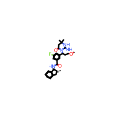 COCCC(c1cc(F)cc(C(=O)N[C@@H]2c3ccccc3C[C@@H]2C)c1)N1C(=N)NC(C)(C)CC1=O